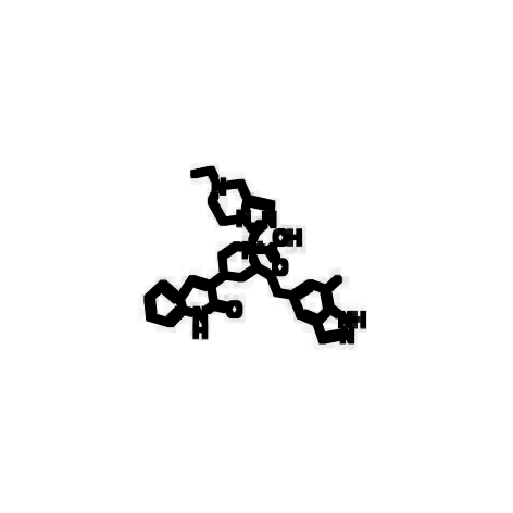 CCN1CCn2c(cnc2[N+]2(C(=O)O)CCC(c3cc4ccccc4[nH]c3=O)CC2CCc2cc(C)c3[nH]ncc3c2)C1